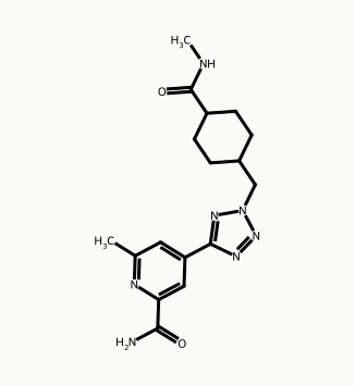 CNC(=O)C1CCC(Cn2nnc(-c3cc(C)nc(C(N)=O)c3)n2)CC1